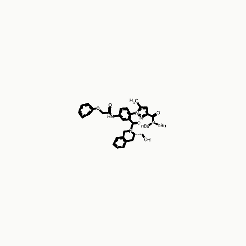 CCCCN(CCCC)C(=O)c1cc(C)n(-c2ccc(NC(=O)COc3ccccc3)cc2C(=O)N2Cc3ccccc3C[C@H]2CO)n1